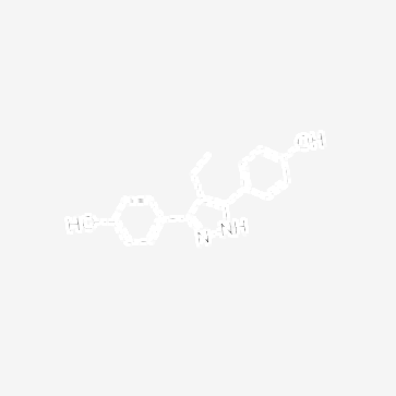 CCc1c(-c2ccc(O)cc2)n[nH]c1-c1ccc(O)cc1